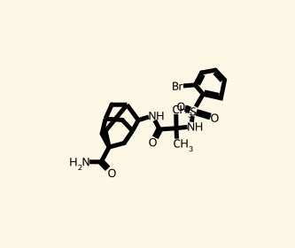 CC(C)(NS(=O)(=O)c1ccccc1Br)C(=O)NC1C2CC3CC1CC(C(N)=O)(C3)C2